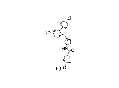 N#Cc1ccc(CN2CCC(NC(=O)c3ccc(OC(F)(F)F)cc3)C2)c(-c2ccc(Cl)cc2)c1